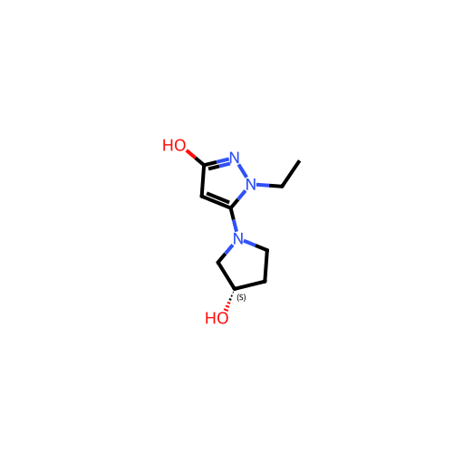 CCn1nc(O)cc1N1CC[C@H](O)C1